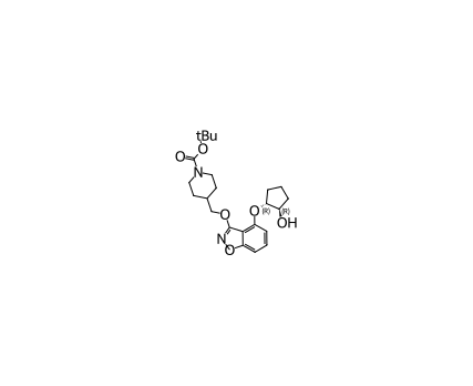 CC(C)(C)OC(=O)N1CCC(COc2noc3cccc(O[C@@H]4CCC[C@H]4O)c23)CC1